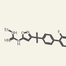 CCNC(=N)Nc1cc(C(C)(C)c2ccc(-c3ccccc3F)cc2)no1